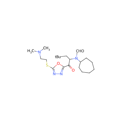 CN(C)CCSc1nnc(C(=O)C(CC(C)(C)C)N(C=O)C2CCCCCC2)o1